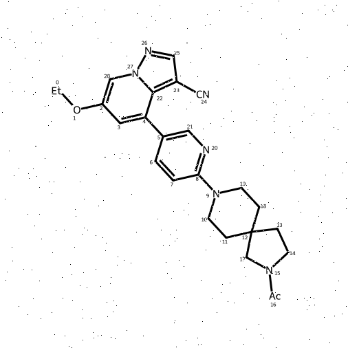 CCOc1cc(-c2ccc(N3CCC4(CCN(C(C)=O)C4)CC3)nc2)c2c(C#N)cnn2c1